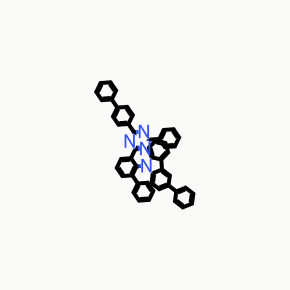 c1ccc(-c2ccc(-c3nc(-c4ccccc4)nc(-c4cccc(-c5ccccc5)c4-n4c5ccccc5c5cc(-c6ccccc6)ccc54)n3)cc2)cc1